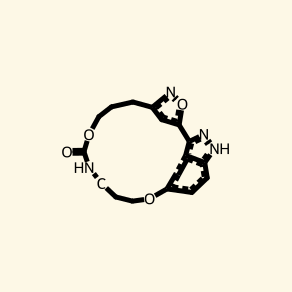 O=C1NCCCOc2ccc3[nH]nc(c3c2)-c2cc(no2)CCCO1